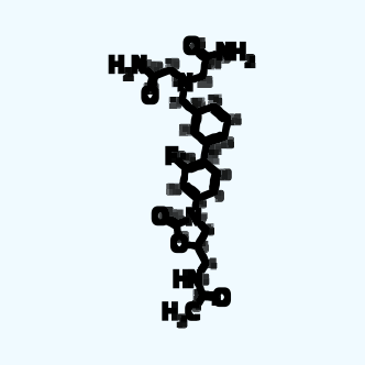 CC(=O)NCC1CN(c2ccc(-c3cccc(CN(CC(N)=O)CC(N)=O)c3)c(F)c2)C(=O)O1